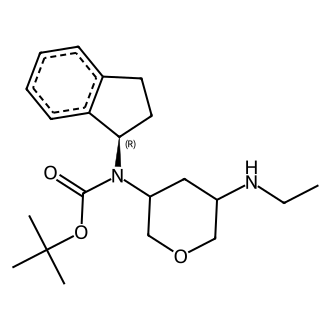 CCNC1COCC(N(C(=O)OC(C)(C)C)[C@@H]2CCc3ccccc32)C1